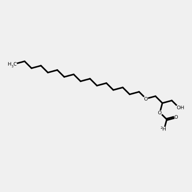 [2H]C(=O)OC(CO)COCCCCCCCCCCCCCCCC